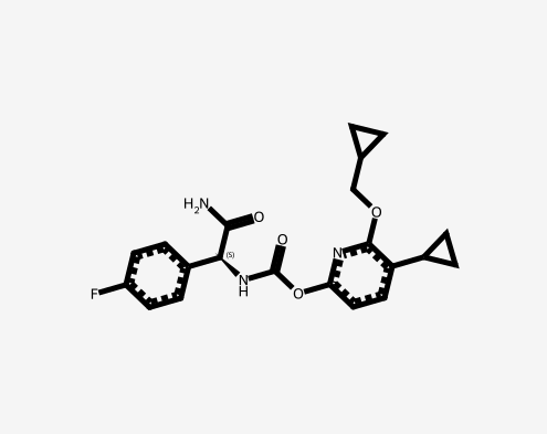 NC(=O)[C@@H](NC(=O)Oc1ccc(C2CC2)c(OCC2CC2)n1)c1ccc(F)cc1